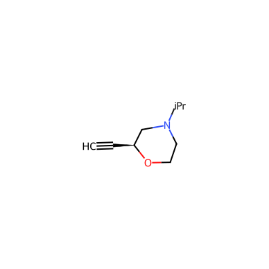 C#C[C@H]1CN(C(C)C)CCO1